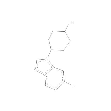 OC1CCC(n2cnc3ccc(Br)cc32)CC1